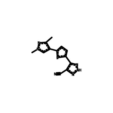 Cc1nn(C)cc1-c1ccc(-c2n[nH]nc2C#N)s1